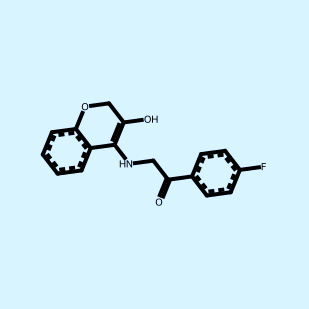 O=C(CNC1=C(O)COc2ccccc21)c1ccc(F)cc1